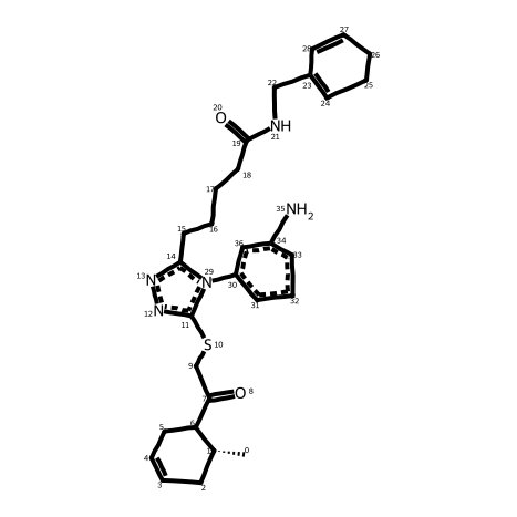 C[C@@H]1CC=CCC1C(=O)CSc1nnc(CCCCC(=O)NCC2=CCCC=C2)n1-c1cccc(N)c1